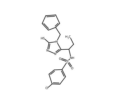 CCC(NS(=O)(=O)c1ccc(Cl)cc1)c1nnc(S)n1Cc1ccccc1